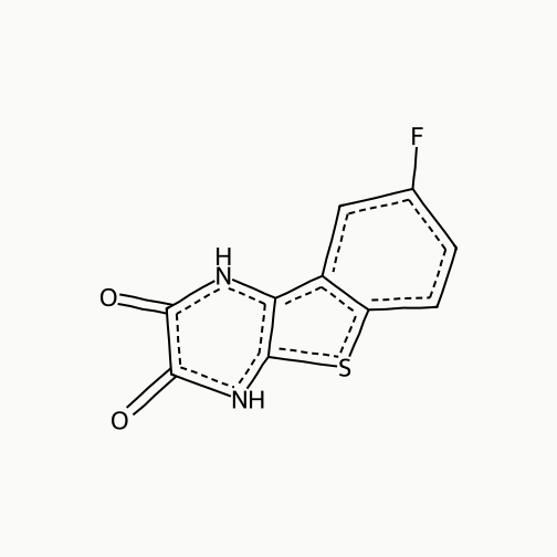 O=c1[nH]c2sc3ccc(F)cc3c2[nH]c1=O